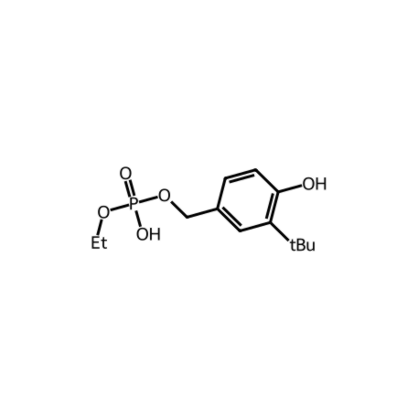 CCOP(=O)(O)OCc1ccc(O)c(C(C)(C)C)c1